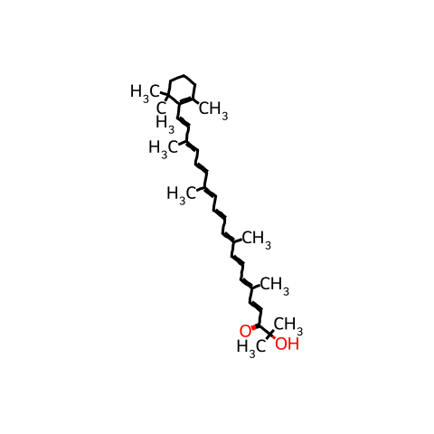 CC1=C(/C=C/C(C)=C/C=C/C(C)=C/C=C/C=C(C)/C=C/C=C(C)/C=C/C(=O)C(C)(C)O)C(C)(C)CCC1